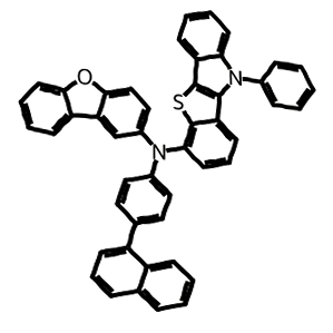 c1ccc(-n2c3ccccc3c3sc4c(N(c5ccc(-c6cccc7ccccc67)cc5)c5ccc6oc7ccccc7c6c5)cccc4c32)cc1